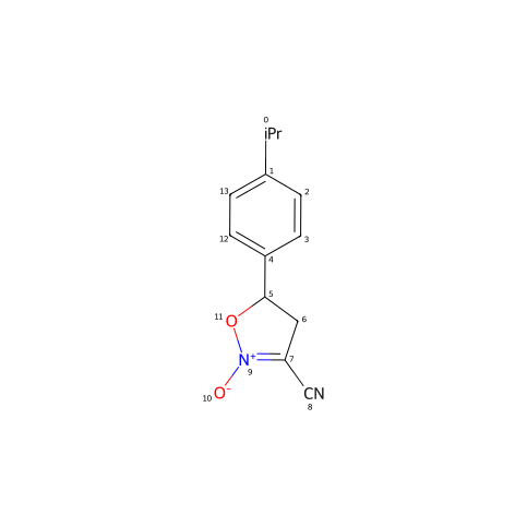 CC(C)c1ccc(C2CC(C#N)=[N+]([O-])O2)cc1